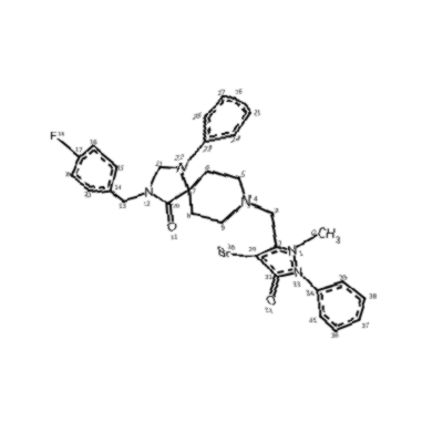 Cn1c(CN2CCC3(CC2)C(=O)N(Cc2ccc(F)cc2)CN3c2ccccc2)c(Br)c(=O)n1-c1ccccc1